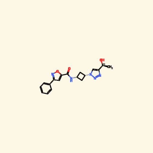 C[C@H](O)c1cn([C@H]2C[C@@H](NC(=O)c3cc(-c4ccccc4)no3)C2)nn1